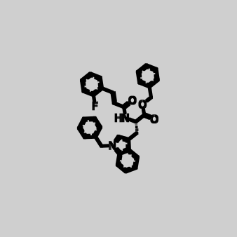 O=C(C=Cc1ccccc1F)N[C@@H](Cc1cn(Cc2ccccc2)c2ccccc12)C(=O)OCc1ccccc1